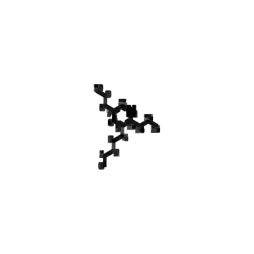 CCCCCc1cc(CCC)cnc1CCC